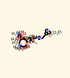 CCOC(=O)c1cn2c3c(cc(C#CCN4CCN(CCC(=O)O[C@H]5[C@H](C)OC(O[C@H]6[C@H](C)[C@@H](O[C@@H]7O[C@H](C)C[C@H](N(C)C)[C@H]7O)[C@](C)(O)C[C@@H](C)CN(C)[C@H](C)[C@@H](O)[C@](C)(O)[C@@H](CC)OC(=O)[C@@H]6C)C[C@]5(C)OC)CC4)cc3c1=O)CCC2